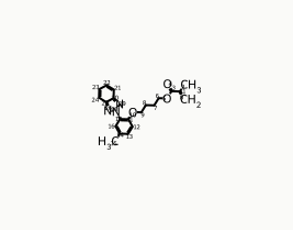 C=C(C)C(=O)OCCCCOc1ccc(C)cc1-n1nc2ccccc2n1